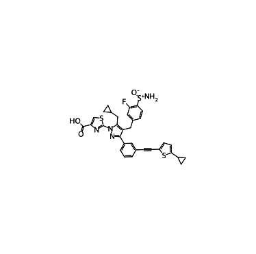 N[S+]([O-])c1ccc(Cc2c(-c3cccc(C#Cc4ccc(C5CC5)s4)c3)nn(-c3nc(C(=O)O)cs3)c2CC2CC2)cc1F